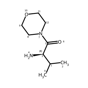 CC(C)[C@@H](N)C(=O)N1CCOCC1